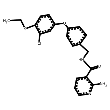 CCSc1ccc(Oc2ccc(CNC(=O)c3cccnc3N)cc2)cc1Cl